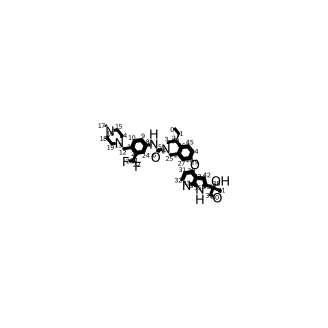 CC[C@@H]1CN(C(=O)Nc2ccc(CN3CCN(C)CC3)c(C(F)F)c2)Cc2cc(Oc3ccnc4[nH]c(C5(O)COC5)cc34)ccc21